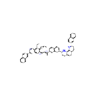 C=C(/C=C\c1cc/c(=C/C=C(\C)c2ccc3ccc(-c4ccc5ccc6ccc(-c7ccc8ccccc8c7)nc6c5n4)cc3c2)c(=C=CC)c1CC)c1ccc2ccccc2c1